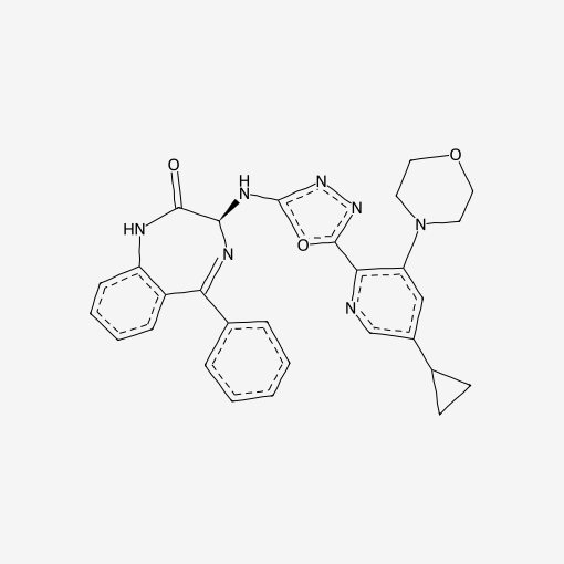 O=C1Nc2ccccc2C(c2ccccc2)=N[C@@H]1Nc1nnc(-c2ncc(C3CC3)cc2N2CCOCC2)o1